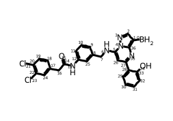 Bc1cnn2c(NCc3cccc(NC(=O)Cc4ccc(Cl)c(Cl)c4)c3)cc(-c3ccccc3O)nc12